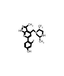 Cc1n[nH]c2nc(-c3ccc(O)cc3F)cc(CN3C[C@H](C)NC[C@H]3C(F)(F)F)c12